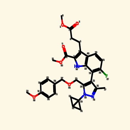 COC(=O)CCc1c(C(=O)OC)[nH]c2c(-c3c(C)nn(C45CC4C5)c3COCc3ccc(OC)cc3)c(F)ccc12